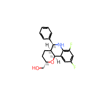 OC[C@@H]1CC[C@H]2[C@@H](c3ccccc3)Nc3c(F)cc(F)cc3[C@H]2O1